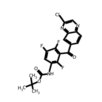 CC(C)(C)OC(=O)Nc1cc(F)c(F)c(C(=O)c2ccc3ncc(Cl)nc3c2)c1F